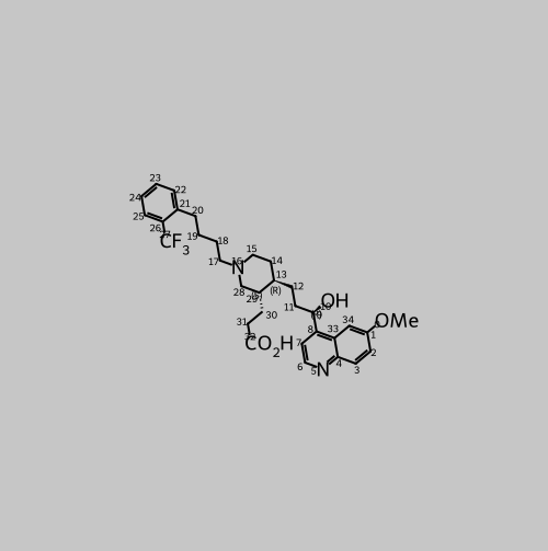 COc1ccc2nccc([C@H](O)CC[C@@H]3CCN(CCCCc4ccccc4C(F)(F)F)C[C@H]3CCC(=O)O)c2c1